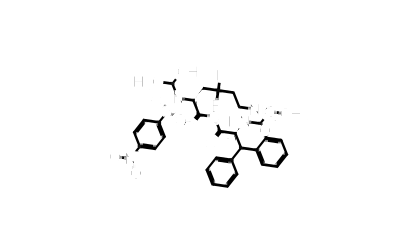 COC(=O)N[C@H](C(=O)OC(=O)[C@H](CC(F)(F)CCN)N(C(C)C)S(=O)(=O)c1ccc([N+](=O)[O-])cc1)C(c1ccccc1)c1ccccc1